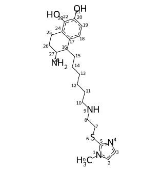 Cn1ccnc1SCCNCCCCCCC1c2ccc(O)c(O)c2CCC1N